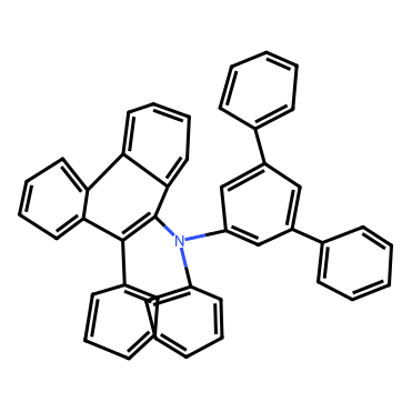 c1ccc(-c2cc(-c3ccccc3)cc(N(c3ccccc3)c3c(-c4ccccc4)c4ccccc4c4ccccc34)c2)cc1